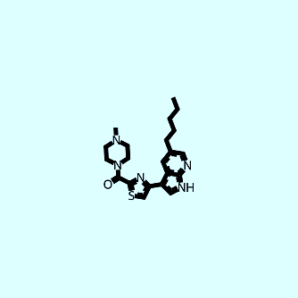 CCCCCc1cnc2[nH]cc(-c3csc(C(=O)N4CCN(C)CC4)n3)c2c1